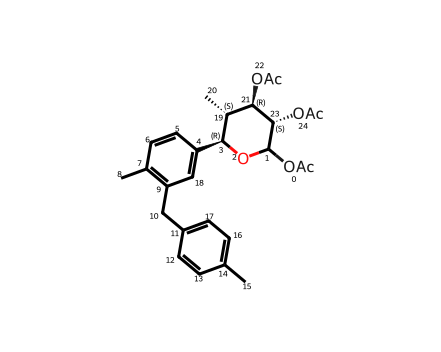 CC(=O)OC1O[C@@H](c2ccc(C)c(Cc3ccc(C)cc3)c2)[C@H](C)[C@@H](OC(C)=O)[C@@H]1OC(C)=O